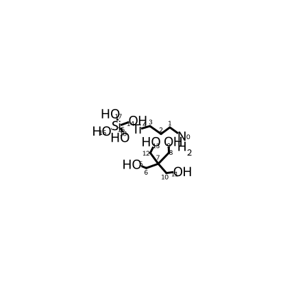 NCC[CH2][Ti].OCC(CO)(CO)CO.O[Si](O)(O)O